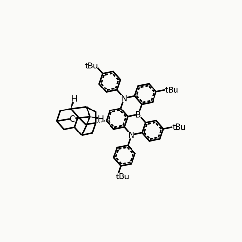 CC(C)(C)c1ccc(N2c3ccc(C(C)(C)C)cc3B3c4cc(C(C)(C)C)ccc4N(c4ccc(C(C)(C)C)cc4)c4cc([C@]56CC7C8CC9C[C@@H]7C(C5)[C@@H](C9)C8C6)cc2c43)cc1